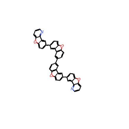 c1cnc2c(c1)oc1ccc(-c3ccc4oc5ccc(-c6ccc7oc8ccc(-c9ccc%10oc%11cccnc%11c%10c9)cc8c7c6)cc5c4c3)cc12